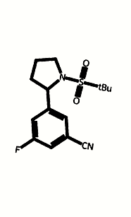 CC(C)(C)S(=O)(=O)N1CCCC1c1cc(F)cc(C#N)c1